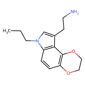 CCCn1cc(CCN)c2c3c(ccc21)OCCO3